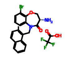 Cc1ccc2ccccc2c1CN1C(=O)[C@@H](N)COc2c(Br)cccc21.O=C(O)C(F)(F)F